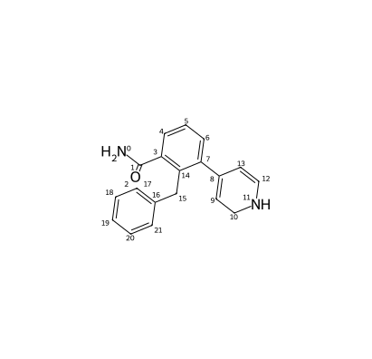 NC(=O)c1cccc(C2=CCNC=C2)c1Cc1ccccc1